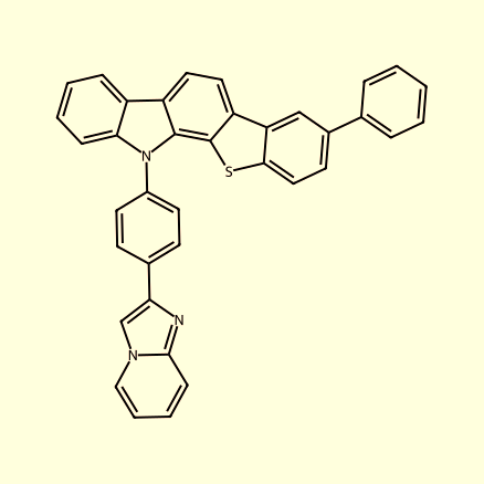 c1ccc(-c2ccc3sc4c(ccc5c6ccccc6n(-c6ccc(-c7cn8ccccc8n7)cc6)c54)c3c2)cc1